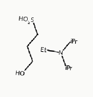 CCN(C(C)C)C(C)C.O=S(=O)(O)CCCO